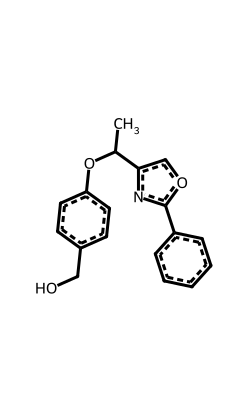 CC(Oc1ccc(CO)cc1)c1coc(-c2ccccc2)n1